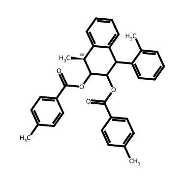 Cc1ccc(C(=O)OC2C(c3ccccc3C)c3ccccc3[C@H](C)C2OC(=O)c2ccc(C)cc2)cc1